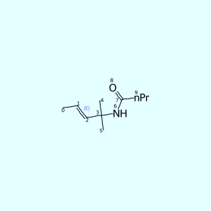 C/C=C/C(C)(C)NC(=O)CCC